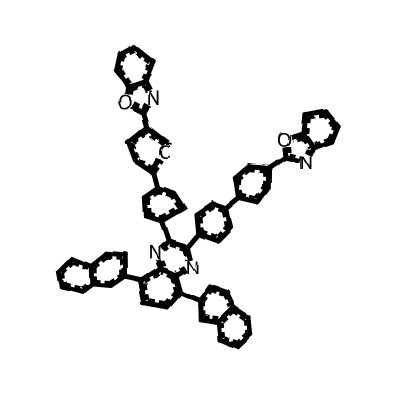 c1ccc2cc(-c3ccc(-c4ccc5ccccc5c4)c4nc(-c5ccc(-c6ccc(-c7nc8ccccc8o7)cc6)cc5)c(-c5ccc(-c6ccc(-c7nc8ccccc8o7)cc6)cc5)nc34)ccc2c1